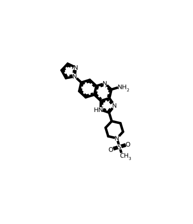 CS(=O)(=O)N1CCC(c2nc3c(N)nc4cc(-n5cccn5)ccc4c3[nH]2)CC1